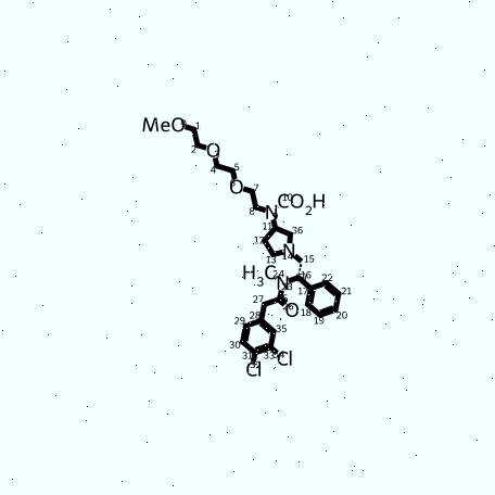 COCCOCCOCCN(C(=O)O)C1CCN(C[C@H](c2ccccc2)N(C)C(=O)Cc2ccc(Cl)c(Cl)c2)C1